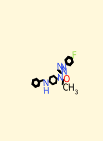 CCC(=O)N(c1cnn(-c2ccc(F)cc2)n1)C1CCC(NCc2ccccc2)CC1